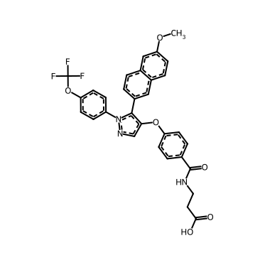 COc1ccc2cc(-c3c(Oc4ccc(C(=O)NCCC(=O)O)cc4)cnn3-c3ccc(OC(F)(F)F)cc3)ccc2c1